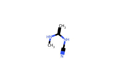 C=C(NC)NC#N